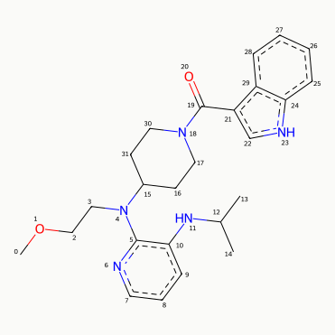 COCCN(c1ncccc1NC(C)C)C1CCN(C(=O)c2c[nH]c3ccccc23)CC1